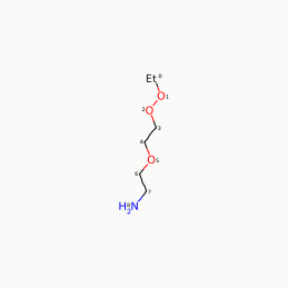 CCOOCCOCCN